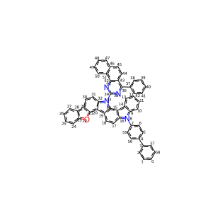 c1ccc(-c2ccc(-n3c4ccccc4c4c3ccc3c5c6oc7ccccc7c6ccc5n(-c5nc(-c6ccccc6)c6ccc7ccccc7c6n5)c34)cc2)cc1